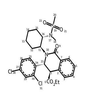 CCOC(=O)[C@@H]1c2ccccc2C(=O)N([C@H]2CCCC[C@@H]2N(C)S(C)(=O)=O)[C@H]1c1ccc(Cl)cc1Cl